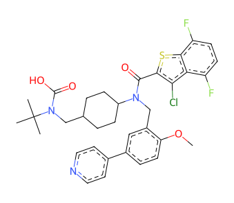 COc1ccc(-c2ccncc2)cc1CN(C(=O)c1sc2c(F)ccc(F)c2c1Cl)C1CCC(CN(C(=O)O)C(C)(C)C)CC1